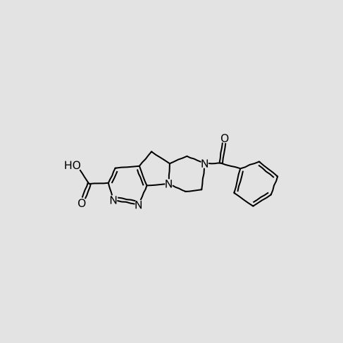 O=C(O)c1cc2c(nn1)N1CCN(C(=O)c3ccccc3)CC1C2